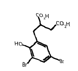 O=C(O)CC(Cc1cc(Br)cc(Br)c1O)C(=O)O